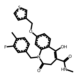 CNC(=O)C1=C(O)c2ccc(OCc3ccsc3)cc2N(Cc2ccc(C)c(F)c2)C(=O)C1